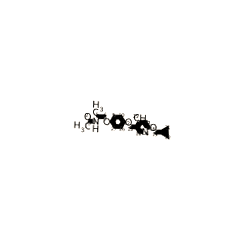 CC(=O)N[C@@H](C)CO[C@H]1CC[C@H](OCc2cnc(OCC3CC3)cc2C)CC1